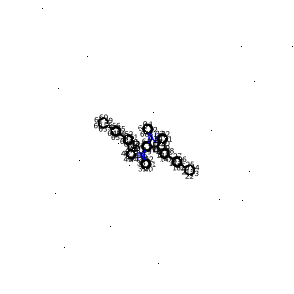 c1ccc(N2c3cc4c(cc3B3c5ccc(-c6ccc(C7CCCCC7)cc6)cc5-c5cccc2c53)N(c2ccccc2)c2cccc3c2B4c2ccc(-c4ccc(C5CCCCC5)cc4)cc2-3)cc1